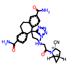 Cn1nnnc1C1(CCNCC(=O)N2[C@H](C#N)C[C@@H]3C[C@@H]32)c2ccc(C(N)=O)cc2CCc2cc(C(N)=O)ccc21